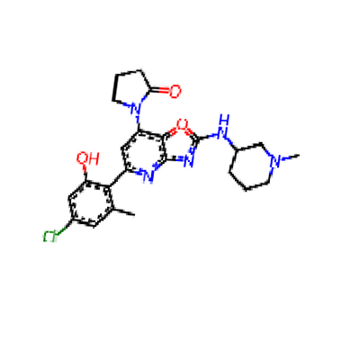 Cc1cc(Cl)cc(O)c1-c1cc(N2CCCC2=O)c2oc(NC3CCCN(C)C3)nc2n1